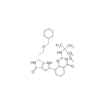 Cn1c(NC(C)(C)C)nc2c(-c3cc4c([nH]3)[C@@H](CCOCc3ccccc3)NC4=O)cccc2c1=O